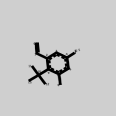 C=Cc1cc(F)cc(C)c1C(C)(C)C